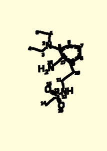 CCN(CC)c1cccc(CCNS(C)(=O)=O)c1N